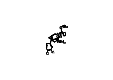 CC(C)(C)OC(=O)N1CCC2(c3ccc(Cl)c(Cl)c3)CC2(CC(N)=S)C1